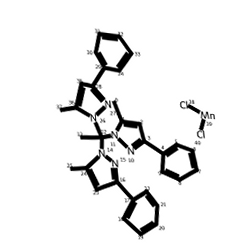 Cc1cc(-c2ccccc2)nn1C(C)(n1nc(-c2ccccc2)cc1C)n1nc(-c2ccccc2)cc1C.[Cl][Mn][Cl]